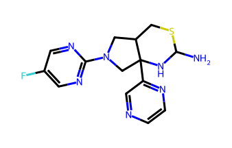 NC1NC2(c3cnccn3)CN(c3ncc(F)cn3)CC2CS1